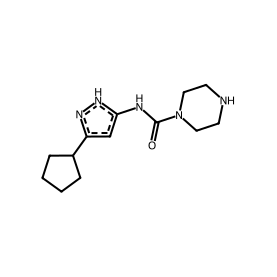 O=C(Nc1cc(C2CCCC2)n[nH]1)N1CCNCC1